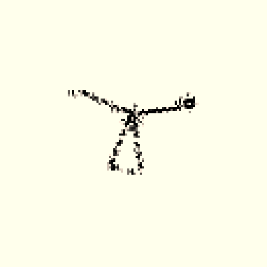 NCCOCCOCCOCCNC(=O)CCC(CCC(=O)NCCOCCOCCOCCN)(CCC(=O)NCCOCCOCCOCCN)NC(=O)CCCCCCCCCCC(=O)Oc1c(F)c(F)c(F)c(F)c1F